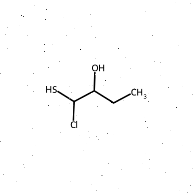 CCC(O)C(S)Cl